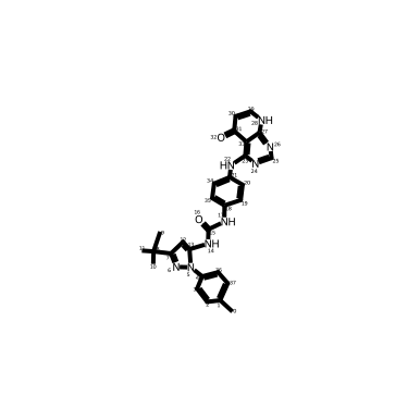 Cc1ccc(-n2nc(C(C)(C)C)cc2NC(=O)Nc2ccc(Nc3ncnc4[nH]ccc(=O)c34)cc2)cc1